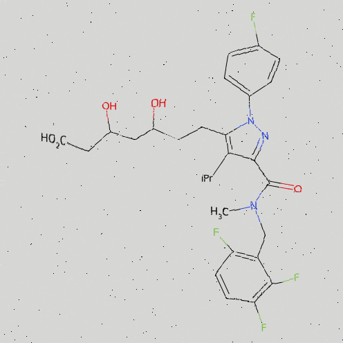 CC(C)c1c(C(=O)N(C)Cc2c(F)ccc(F)c2F)nn(-c2ccc(F)cc2)c1CCC(O)CC(O)CC(=O)O